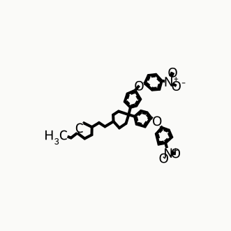 CCC1CCC(CCC2CCC(c3ccc(Oc4ccc([N+](=O)[O-])cc4)cc3)(c3ccc(Oc4ccc([N+](=O)[O-])cc4)cc3)CC2)CC1